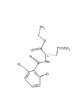 C=CC[C@H](NC(=O)c1c(Cl)cccc1Cl)C(=O)OCC